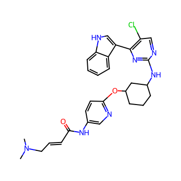 CN(C)C/C=C/C(=O)Nc1ccc(OC2CCCC(Nc3ncc(Cl)c(-c4c[nH]c5ccccc45)n3)C2)nc1